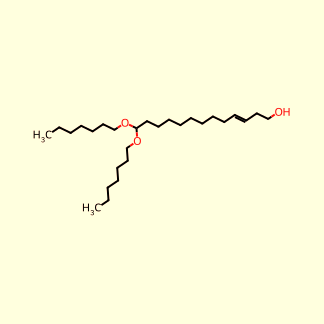 CCCCCCCOC(CCCCCCCC/C=C/CCO)OCCCCCCC